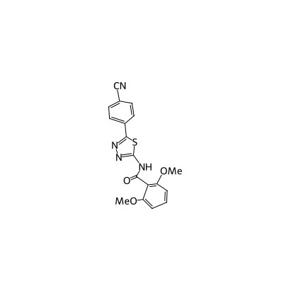 COc1cccc(OC)c1C(=O)Nc1nnc(-c2ccc(C#N)cc2)s1